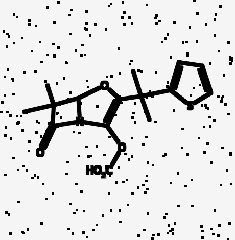 CC(C)(C1=C(OC(=O)O)N2C(=O)C(C)(C)C2O1)c1cccs1